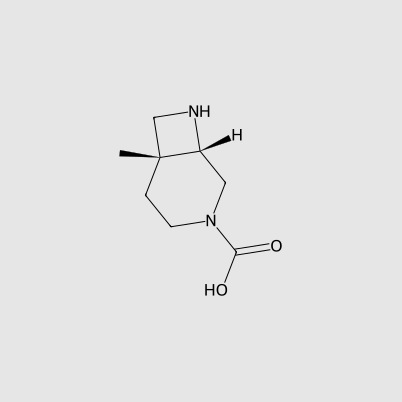 C[C@]12CCN(C(=O)O)C[C@H]1NC2